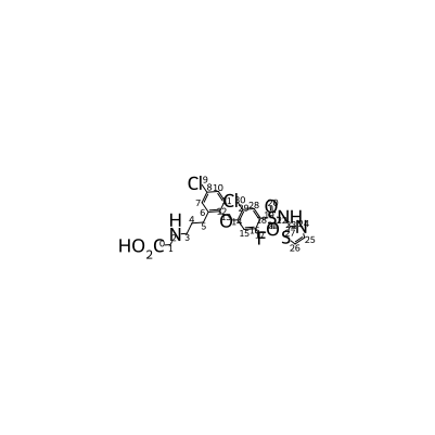 O=C(O)CNCCCc1cc(Cl)ccc1Oc1cc(F)c(S(=O)(=O)Nc2nccs2)cc1Cl